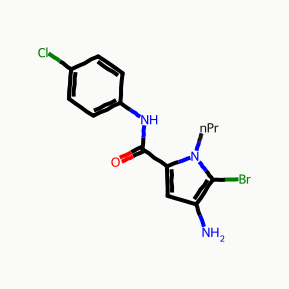 CCCn1c(C(=O)Nc2ccc(Cl)cc2)cc(N)c1Br